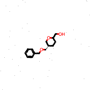 OCC1CC[C@H](COCc2ccccc2)CO1